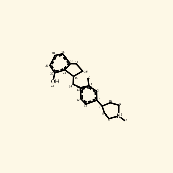 Cc1cc(C2CCN(C)CC2)ccc1CC1CCc2cccc(O)c21